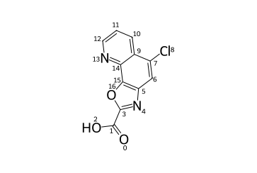 O=C(O)c1nc2cc(Cl)c3cccnc3c2o1